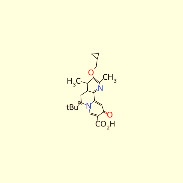 CC1=C(OCC2CC2)C(C)C2C[C@@H](C(C)(C)C)n3cc(C(=O)O)c(=O)cc3C2=N1